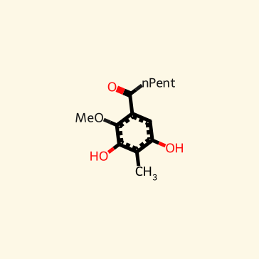 CCCCCC(=O)c1cc(O)c(C)c(O)c1OC